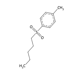 CCCCCS(=O)(=O)c1ccc(C)cc1